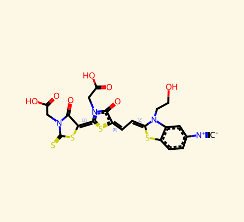 [C-]#[N+]c1ccc2c(c1)N(CCO)/C(=C/C=c1/s/c(=C3\SC(=S)N(CC(=O)O)C3=O)n(CC(=O)O)c1=O)S2